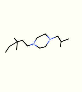 CCC(C)(C)CCN1CCN(CC(C)C)CC1